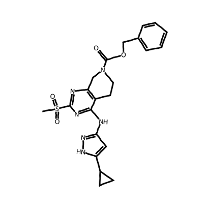 CS(=O)(=O)c1nc2c(c(Nc3cc(C4CC4)[nH]n3)n1)CCN(C(=O)OCc1ccccc1)C2